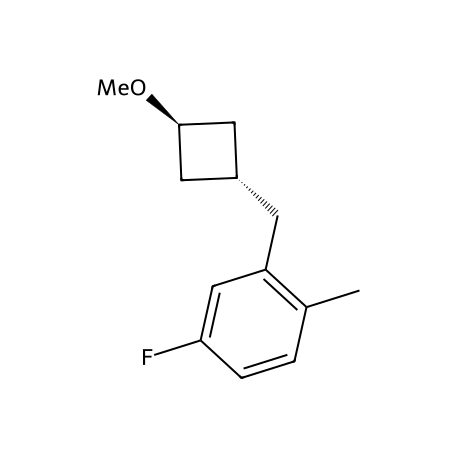 CO[C@H]1C[C@H](Cc2cc(F)ccc2C)C1